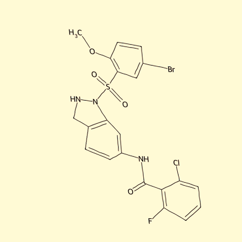 COc1ccc(Br)cc1S(=O)(=O)N1NCc2ccc(NC(=O)c3c(F)cccc3Cl)cc21